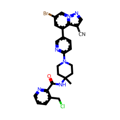 CC1(NC(=O)c2ncccc2CCl)CCN(c2ccc(-c3cc(Br)cn4ncc(C#N)c34)cn2)CC1